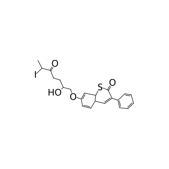 CC(I)C(=O)CCC(O)COC1=CC2SC(=O)C(c3ccccc3)=CC2C=C1